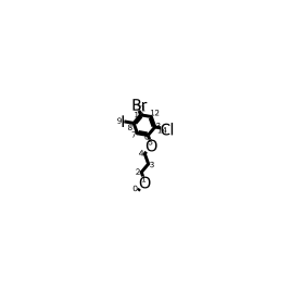 COCCCOc1cc(I)c(Br)cc1Cl